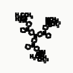 CC(C)(C)SNc1cccc(N(c2ccccc2)c2ccc(N(c3ccc(N(c4ccccc4)c4ccc(NS(=O)(=O)C(C)(C)C)cc4)cc3)c3ccc(N(c4ccccc4)c4ccc(NS(=O)(=O)C(C)(C)C)cc4)cc3)cc2)c1